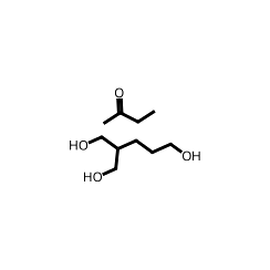 CCC(C)=O.OCCCC(CO)CO